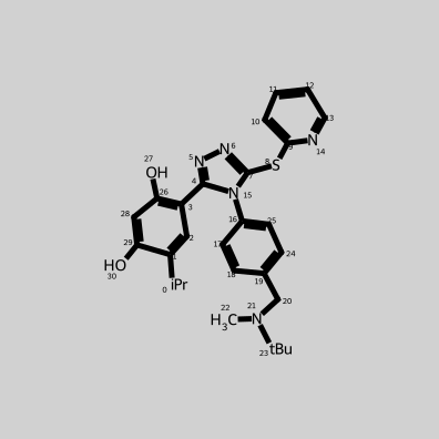 CC(C)c1cc(-c2nnc(Sc3ccccn3)n2-c2ccc(CN(C)C(C)(C)C)cc2)c(O)cc1O